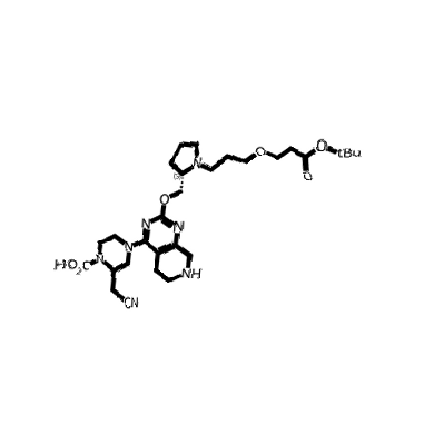 CC(C)(C)OC(=O)CCOCCCN1CCC[C@H]1COc1nc2c(c(N3CCN(C(=O)O)C(CC#N)C3)n1)CCNC2